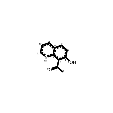 CC(=O)c1c(O)ccc2cccnc12